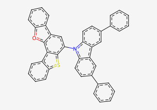 c1ccc(-c2ccc3c(c2)c2cc(-c4ccccc4)ccc2n3-c2cc3c4ccccc4oc3c3c2sc2ccccc23)cc1